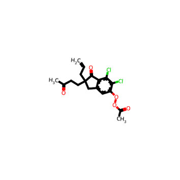 C=CCC1(CCC(C)=O)Cc2cc(OOC(C)=O)c(Cl)c(Cl)c2C1=O